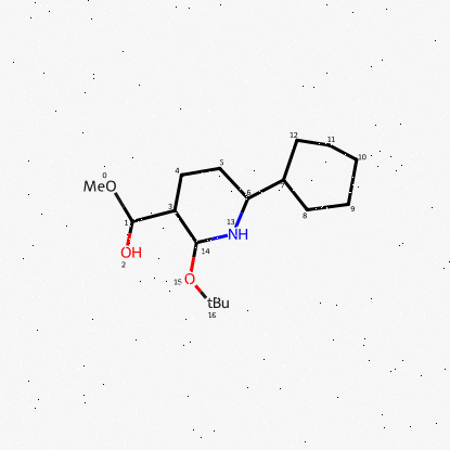 COC(O)C1CCC(C2CCCCC2)NC1OC(C)(C)C